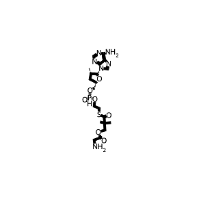 C[C@H]1C[C@@H](CO[PH](=O)OCCSC(=O)C(C)(C)COC(=O)CN)O[C@H]1n1cnc2c(N)ncnc21